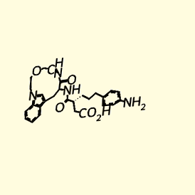 Nc1ccc(CCC[C@H](CC(=O)O)C(=O)NC2Cc3cn(c4ccccc34)CCOCCNC2=O)cc1